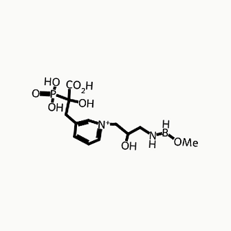 COBNCC(O)C[n+]1cccc(CC(O)(C(=O)O)P(=O)(O)O)c1